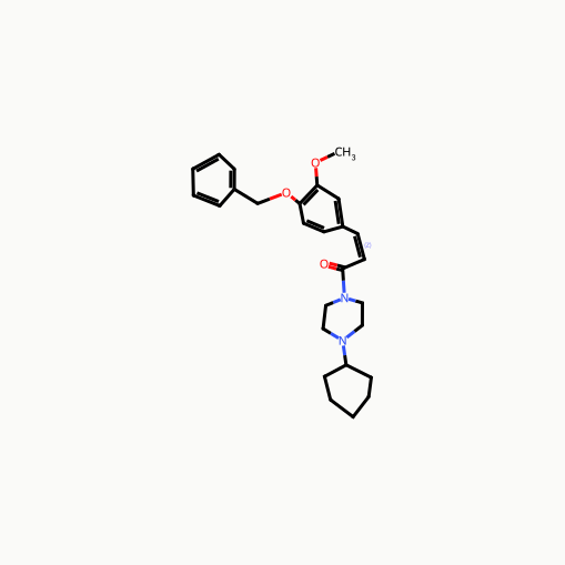 COc1cc(/C=C\C(=O)N2CCN(C3CCCCC3)CC2)ccc1OCc1ccccc1